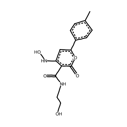 Cc1ccc(-c2cc(NO)c(C(=O)NCCO)c(=O)o2)cc1